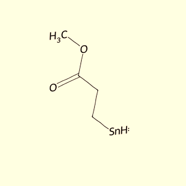 COC(=O)C[CH2][SnH]